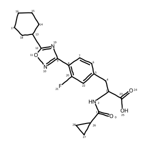 O=C(NC(Cc1ccc(-c2noc(C3CCCCC3)n2)c(F)c1)C(=O)O)C1CC1